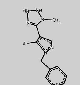 CN1NNN=C1c1cnn(Cc2ccccc2)c1Br